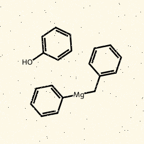 Oc1ccccc1.c1ccc([CH2][Mg][c]2ccccc2)cc1